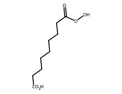 O=C(O)CCCCCCCC(=O)OO